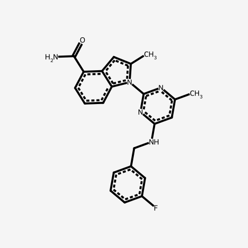 Cc1cc(NCc2cccc(F)c2)nc(-n2c(C)cc3c(C(N)=O)cccc32)n1